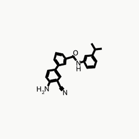 CC(C)c1cccc(NC(=O)c2cccc(-c3ccc(N)c(C#N)c3)c2)c1